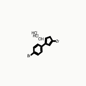 Brc1ccc(C2=CC[C]([Zr])=C2)cc1.Cl.Cl.Cl